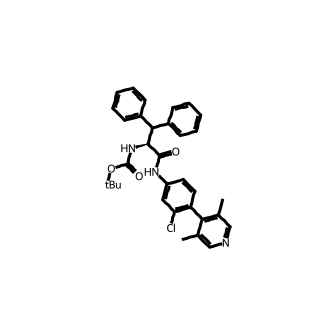 Cc1cncc(C)c1-c1ccc(NC(=O)[C@@H](NC(=O)OC(C)(C)C)C(c2ccccc2)c2ccccc2)cc1Cl